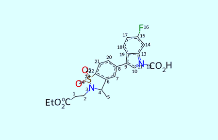 CCOC(=O)CCN1C(C)c2cc(-c3cn(C(=O)O)c4cc(F)ccc34)ccc2S1(=O)=O